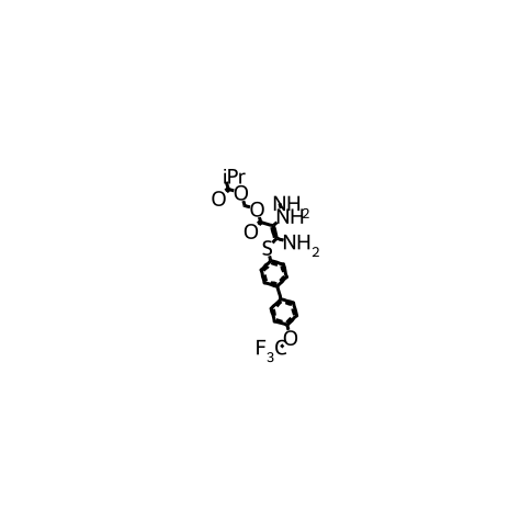 CC(C)C(=O)OCOC(=O)/C(NN)=C(/N)Sc1ccc(-c2ccc(OC(F)(F)F)cc2)cc1